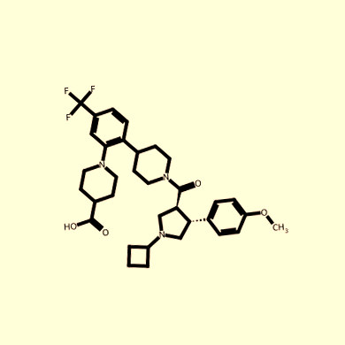 COc1ccc([C@@H]2CN(C3CCC3)C[C@H]2C(=O)N2CCC(c3ccc(C(F)(F)F)cc3N3CCC(C(=O)O)CC3)CC2)cc1